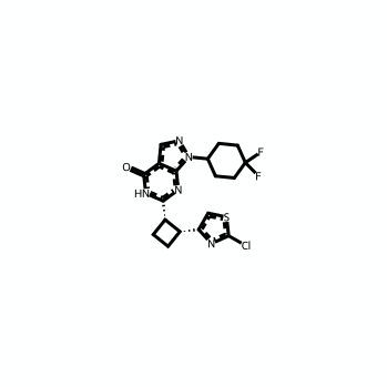 O=c1[nH]c([C@H]2CC[C@H]2c2csc(Cl)n2)nc2c1cnn2C1CCC(F)(F)CC1